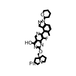 Cc1ccc2c(cnn2C2CCCCO2)c1-c1ncc2c(O)nc(OC[C@@]34CCCN3C[C@H](F)C4)nc2c1F